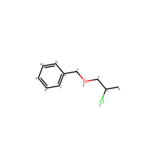 CC(Cl)[CH]OCc1ccccc1